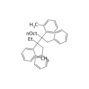 CCCCCCCCC(Cc1ccccc1)(c1ccccc1C)C(CC)(Cc1ccccc1)c1ccccc1C